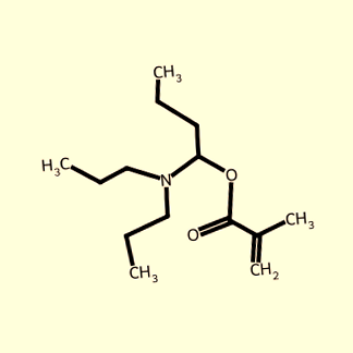 C=C(C)C(=O)OC(CCC)N(CCC)CCC